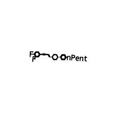 CCCCCc1ccc([C@H]2CC[C@H](C=CC#Cc3ccc(F)c(F)c3)CC2)cc1